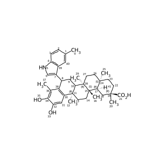 Cc1ccc2[nH]cc(C3CC4[C@@](C)(CC[C@@]5(C)[C@@H]6C[C@](C)(C(=O)O)CC[C@]6(C)CC[C@]45C)c4cc(O)c(O)c(C)c43)c2c1